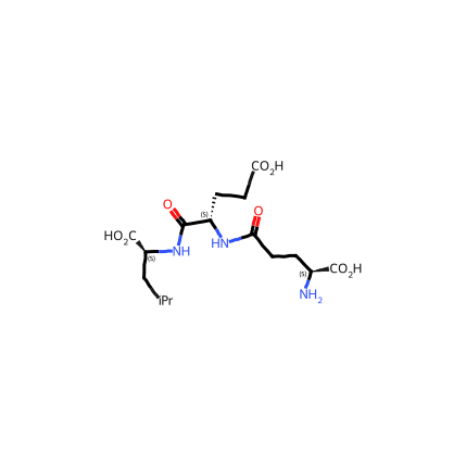 CC(C)C[C@H](NC(=O)[C@H](CCC(=O)O)NC(=O)CC[C@H](N)C(=O)O)C(=O)O